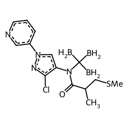 BC(B)(B)N(C(=O)C(C)CSC)c1cn(-c2cccnc2)nc1Cl